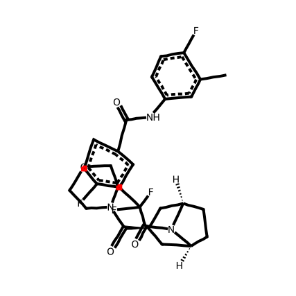 Cc1cc(NC(=O)c2ccc(F)c(C(F)(F)C(=O)N3[C@@H]4CC[C@H]3C[C@@H](C(=O)N3CCOCC3)C4)c2)ccc1F